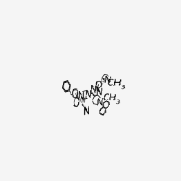 Cc1ccc2ccccc2c1N1CCCc2c(nc(OC[C@@H]3CCCN3C)nc2N2CCN(C(=O)OCc3ccccc3)[C@@H](CC#N)C2)C1